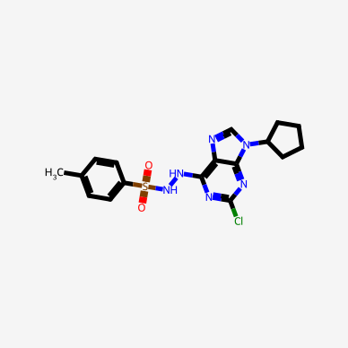 Cc1ccc(S(=O)(=O)NNc2nc(Cl)nc3c2ncn3C2CCCC2)cc1